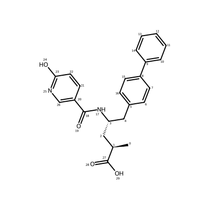 C[C@H](C[C@@H](Cc1ccc(-c2ccccc2)cc1)NC(=O)c1ccc(O)nc1)C(=O)O